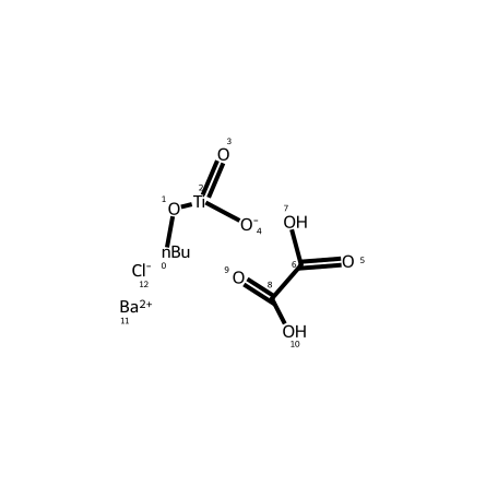 CCCC[O][Ti](=[O])[O-].O=C(O)C(=O)O.[Ba+2].[Cl-]